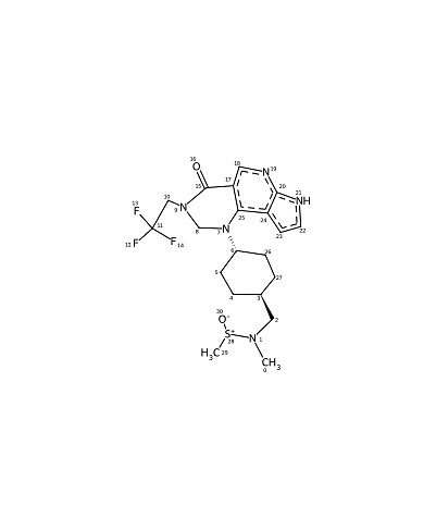 CN(C[C@H]1CC[C@H](N2CN(CC(F)(F)F)C(=O)c3cnc4[nH]ccc4c32)CC1)[S+](C)[O-]